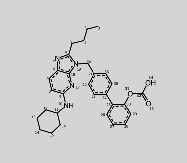 CCCCc1nc2ccc(NC3CCCCC3)nc2n1Cc1ccc(-c2ccccc2OC(=O)O)cc1